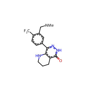 CNCc1cc(-c2n[nH]c(=O)c3c2NCCC3)ccc1C(F)(F)F